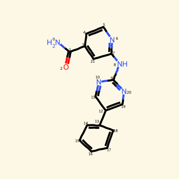 NC(=O)c1ccnc(Nc2ncc(-c3ccccc3)cn2)c1